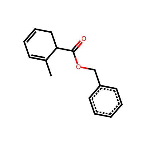 CC1=CC=CCC1C(=O)OCc1ccccc1